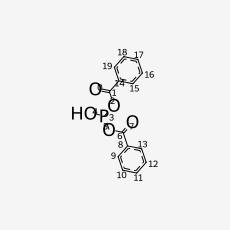 O=C(OP(O)OC(=O)c1ccccc1)c1ccccc1